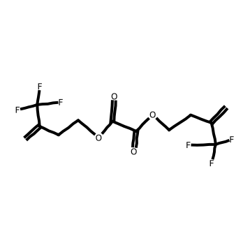 C=C(CCOC(=O)C(=O)OCCC(=C)C(F)(F)F)C(F)(F)F